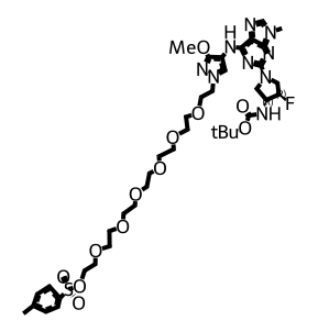 COc1nn(CCOCCOCCOCCOCCOCCOCCOS(=O)(=O)c2ccc(C)cc2)cc1Nc1nc(N2C[C@@H](F)[C@H](NC(=O)OC(C)(C)C)C2)nc2c1ncn2C